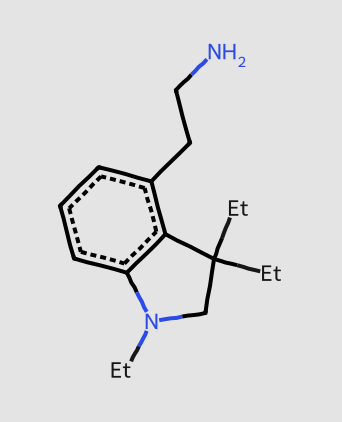 CCN1CC(CC)(CC)c2c(CCN)cccc21